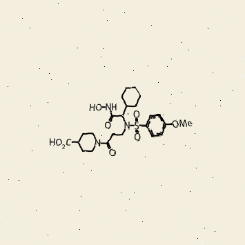 COc1ccc(S(=O)(=O)N(CCC(=O)N2CCC(C(=O)O)CC2)C(C(=O)NO)C2CCCCC2)cc1